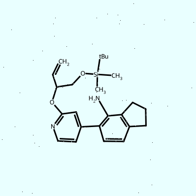 C=CC(CO[Si](C)(C)C(C)(C)C)Oc1cc(-c2ccc3c(c2N)CCC3)ccn1